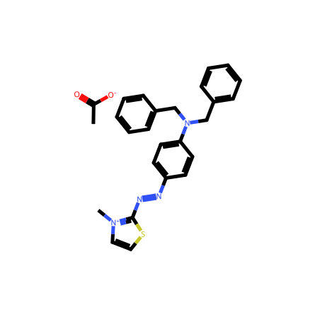 CC(=O)[O-].C[n+]1ccsc1/N=N/c1ccc(N(Cc2ccccc2)Cc2ccccc2)cc1